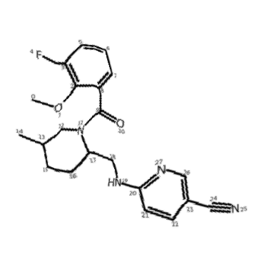 COc1c(F)cccc1C(=O)N1CC(C)CCC1CNc1ccc(C#N)cn1